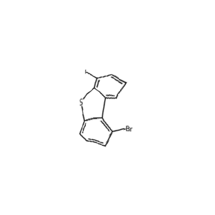 Brc1cccc2sc3c(I)cccc3c12